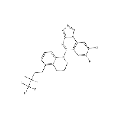 CC(C)(CCc1cccc2c1CCCN2c1nc2nncn2c2cc(Cl)c(F)cc12)C(F)(F)F